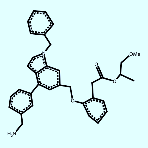 COCC(C)OC(=O)Cc1ccccc1OCc1cc(-c2cccc(CN)c2)c2ccn(Cc3ccccc3)c2c1